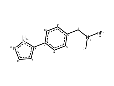 CCCN(C)Cc1ccc(-c2ccn[nH]2)cc1